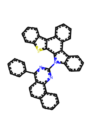 c1ccc(-c2nc(-n3c4ccccc4c4c5ccccc5c5c6ccccc6sc5c43)nc3c2ccc2ccccc23)cc1